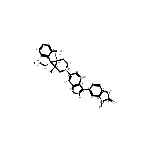 Cn1c(=O)oc2ccc(-c3n[nH]c4nc(N5CC[C@@H]6[C@H](C5)[C@@]6(CN)c5ccccc5F)cnc34)cc21